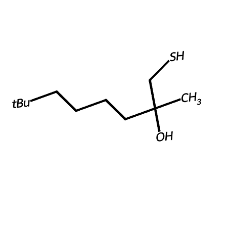 CC(C)(C)CCCCC(C)(O)CS